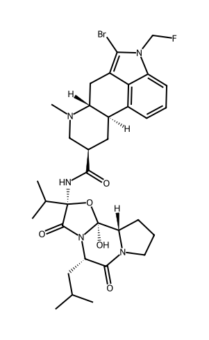 CC(C)C[C@H]1C(=O)N2CCC[C@H]2[C@]2(O)O[C@](NC(=O)[C@@H]3C[C@@H]4c5cccc6c5c(c(Br)n6CF)C[C@H]4N(C)C3)(C(C)C)C(=O)N12